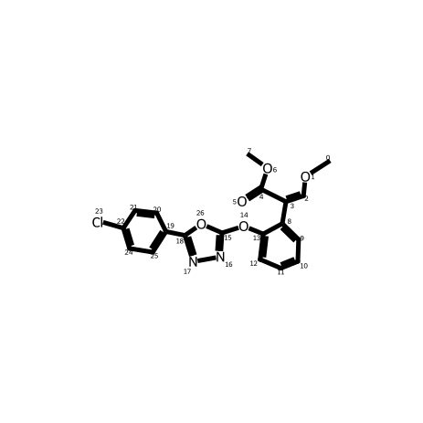 COC=C(C(=O)OC)c1ccccc1Oc1nnc(-c2ccc(Cl)cc2)o1